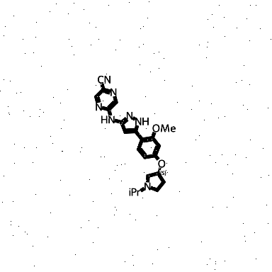 COc1cc(O[C@H]2CCN(C(C)C)C2)ccc1-c1cc(Nc2cnc(C#N)cn2)n[nH]1